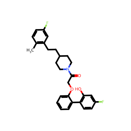 Cc1ccc(F)cc1CCC1CCN(C(=O)COc2ccccc2-c2ccc(F)cc2O)CC1